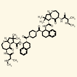 CN[C@@H](C)C(=S)N[C@H]1CCS[C@H]2CC(C)(C)[C@@H](C(=O)N[C@H]3c4ccccc4CC[C@H]3C(=O)N3CCN(C(=O)[C@@H]4CCc5ccccc5[C@@H]4NC(=O)[C@H]4N5C(=O)[C@@H](NC(=S)[C@H](C)NC)CCS[C@H]5CC4(C)C)CC3)N2C1=O